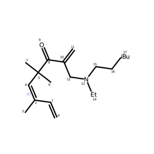 C=C/C(C)=C\C(C)(C)C(=O)C(=C)CN(CC)CCC(C)CC